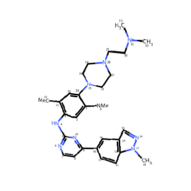 CNc1cc(Nc2nccc(-c3ccc4c(cnn4C)c3)n2)c(OC)cc1N1CCN(CCN(C)C)CC1